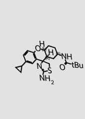 CC(C)(C)C(=O)N[C@@H]1CC[C@@H]2Oc3ccc(C4CC4)cc3C3(CSC(N)=N3)[C@H]2C1